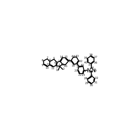 CC1(C)C2=C(CC3CCC=CC3=C2)C2=CC=C(C3=CC(c4cccc(N5C(c6ccccc6)=NC5c5ccccc5)c4)=CCC3)CC21